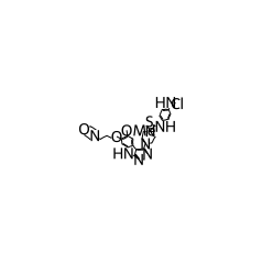 COc1cc2c(cc1OCCCN1CCOCC1)[nH]c1ncnc(N3CCN(C(=S)Nc4ccc(NCl)cc4)CC3)c12